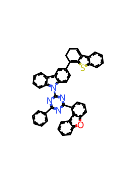 C1=c2c(sc3ccccc23)=C(c2ccc3c(c2)c2ccccc2n3-c2nc(-c3ccccc3)nc(-c3cccc4oc5ccccc5c34)n2)CC1